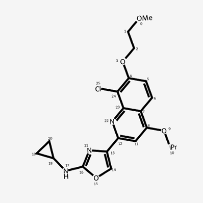 COCCOc1ccc2c(OC(C)C)cc(-c3coc(NC4CC4)n3)nc2c1Cl